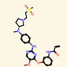 C=CC(=O)Nc1cccc(Oc2nc(Nc3ccc(N(C)[C@H]4CCN(CCS(C)(=O)=O)C4)cc3)ncc2OC)c1